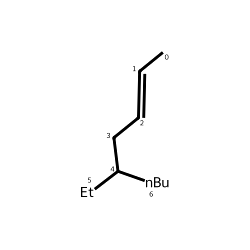 CC=CCC(CC)CCCC